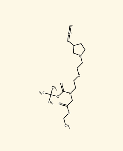 CCOC(=O)CN(CCOCCN1CCC(N=[N+]=[N-])C1)C(=O)OC(C)(C)C